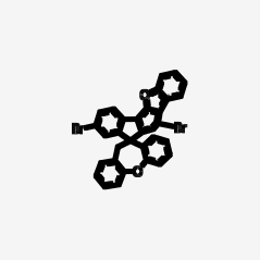 Brc1ccc2c(c1)C1(Cc3ccccc3Oc3ccccc31)c1cc(Br)c3c(oc4ccccc43)c1-2